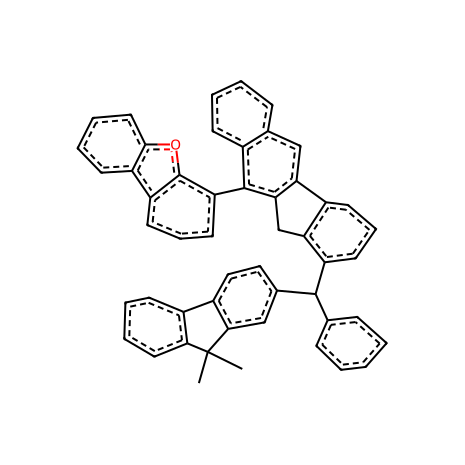 CC1(C)c2ccccc2-c2ccc(C(c3ccccc3)c3cccc4c3Cc3c-4cc4ccccc4c3-c3cccc4c3oc3ccccc34)cc21